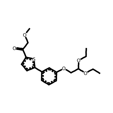 CCOC(COc1cccc(-c2ccc(C(=O)COC)s2)c1)OCC